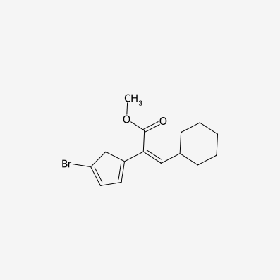 COC(=O)C(=CC1CCCCC1)C1=CC=C(Br)C1